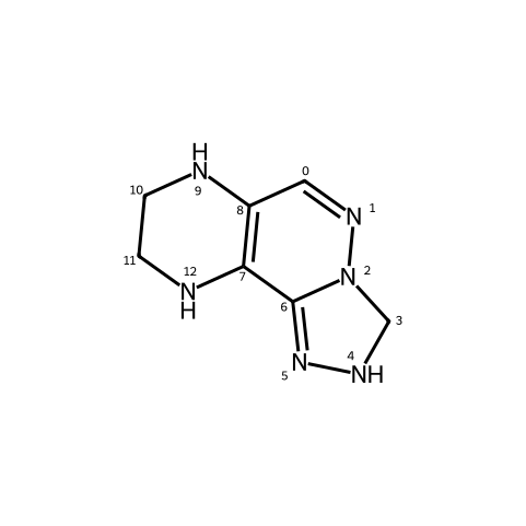 C1=NN2CNN=C2C2=C1NCCN2